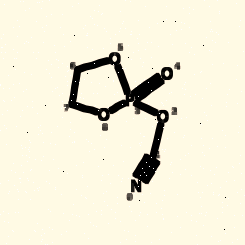 N#COP1(=O)OCCO1